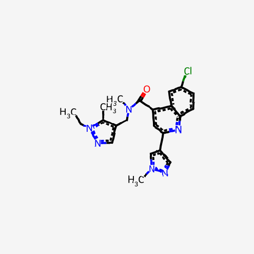 CCn1ncc(CN(C)C(=O)c2cc(-c3cnn(C)c3)nc3ccc(Cl)cc23)c1C